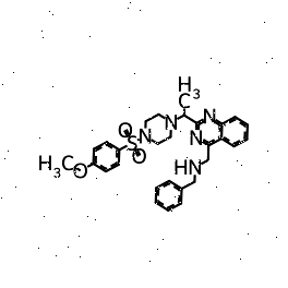 COc1ccc(S(=O)(=O)N2CCN(C(C)c3nc(CNCc4ccccc4)c4ccccc4n3)CC2)cc1